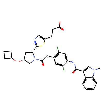 Cn1cc(C(=O)Nc2cc(Cl)c(CC(=O)N3C[C@@H](OC4CCC4)C[C@H]3c3ncc(CCC(=O)O)s3)cc2Cl)c2ccccc21